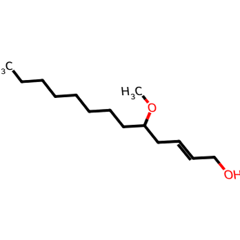 CCCCCCCCC(C/C=C/CO)OC